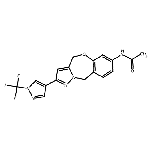 CC(=O)Nc1ccc2c(c1)OCc1cc(-c3cnn(C(F)(F)F)c3)nn1C2